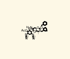 CC(=O)O[C@H]1[C@H](C2O[C@H]([C@@H](C)N(Cc3ccccc3)C(=O)OCc3ccccc3)CC[C@H]2N)C(N=[N+]=[N-])CC(N=[N+]=[N-])[C@@H]1OC(C)=O